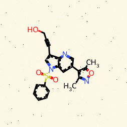 Cc1noc(C)c1-c1cnc2c(C#CCO)cn(S(=O)(=O)c3ccccc3)c2c1